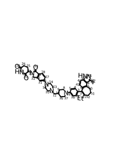 CCC1=C(c2ccc(N3CCC(CN4CCN(c5ccc6c(c5)CN([C@H]5CCC(=O)NC5=O)C6=O)CC4)CC3)cc2)c2ccc3[nH]nc(F)c3c2CCC1